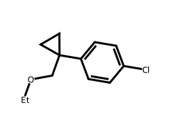 CCOCC1(c2ccc(Cl)cc2)CC1